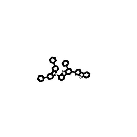 c1ccc(-c2ccc3c(c2)c2cc(-c4ccccc4)ccc2n3-c2cccc3c2sc2c(-c4ccccc4)cc(-c4ccc5c(c4)oc4ccccc45)cc23)cc1